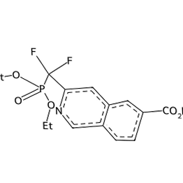 CCOP(=O)(OCC)C(F)(F)c1cc2cc(C(=O)O)ccc2cn1